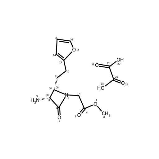 COC(=O)CN1C(=O)[C@H](N)[C@@H]1CCc1ccco1.O=C(O)C(=O)O